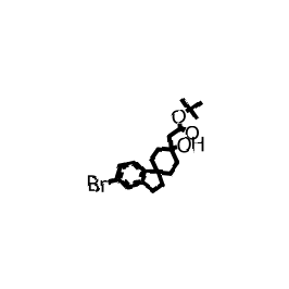 CC(C)(C)OC(=O)CC1(O)CCC2(CCc3cc(Br)ccc32)CC1